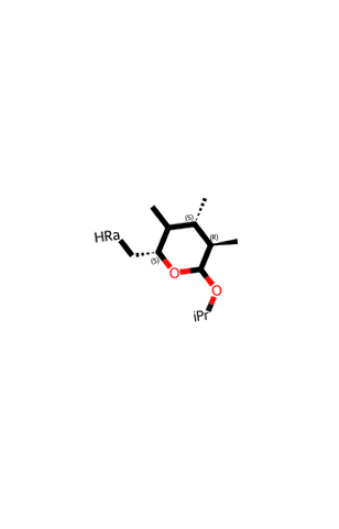 CC(C)OC1O[C@H]([CH2][RaH])C(C)[C@H](C)[C@H]1C